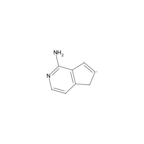 Nc1nccc2c1C=[C]C2